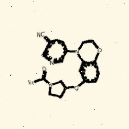 CCC(=O)N1CCC(Oc2ccc3c(c2)N(c2cncc(C#N)c2)CCO3)C1